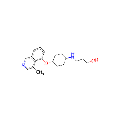 Cc1cncc2cccc(O[C@H]3CC[C@H](NCCCO)CC3)c12